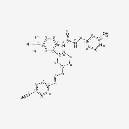 N#Cc1ccc(/C=C/CN2CCc3c(c4cc(C(F)(F)F)ccc4n3C(=O)NCc3ccnc(O)c3)C2)cc1